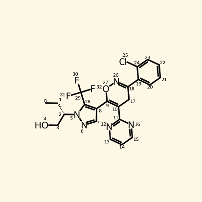 CC[C@@H](CO)n1ncc(C2=C(c3ncccn3)CC(c3ccccc3Cl)=NO2)c1C(F)(F)F